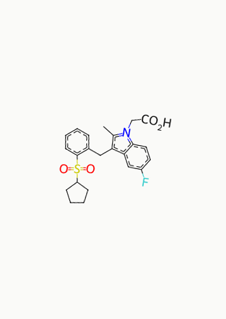 Cc1c(Cc2ccccc2S(=O)(=O)C2CCCC2)c2cc(F)ccc2n1CC(=O)O